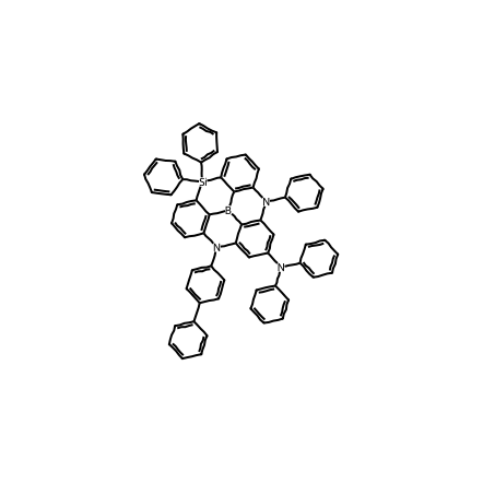 c1ccc(-c2ccc(N3c4cc(N(c5ccccc5)c5ccccc5)cc5c4B4c6c(cccc6[Si](c6ccccc6)(c6ccccc6)c6cccc3c64)N5c3ccccc3)cc2)cc1